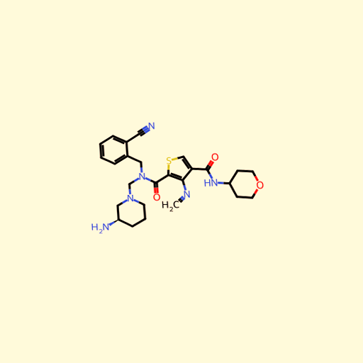 C=Nc1c(C(=O)NC2CCOCC2)csc1C(=O)N(Cc1ccccc1C#N)CN1CCC[C@@H](N)C1